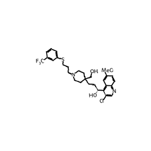 COc1ccc2ncc(Cl)c([C@H](O)CCC3(CO)CCN(CCCSc4cccc(C(F)(F)F)c4)CC3)c2c1